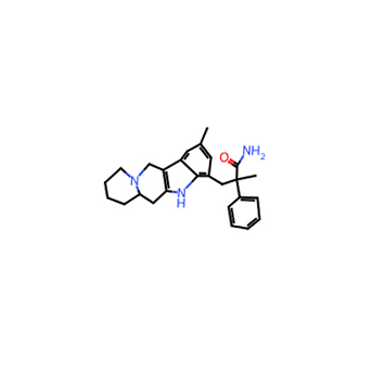 Cc1cc(CC(C)(C(N)=O)c2ccccc2)c2[nH]c3c(c2c1)CN1CCCCC1C3